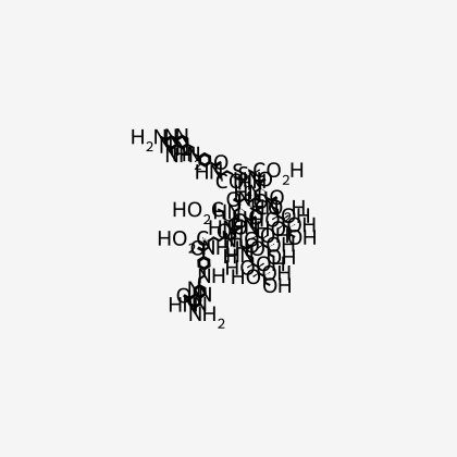 Nc1nc(N)c2nc(CNc3ccc(C(=O)N[C@@H](CCSSC[C@H](NC(=O)[C@H](CCC(=O)NC[C@H](O)[C@@H](O)[C@H](O)[C@H](O)CO)NC(=O)[C@H](CCC(=O)O)NC(=O)[C@H](CCC(=O)NC[C@H](O)[C@@H](O)[C@H](O)[C@H](O)CO)NC(=O)[C@H](CCC(=O)O)NC(=O)[C@H](CCC(=O)NC[C@H](O)[C@@H](O)[C@H](O)[C@H](O)CO)NC(=O)CC[C@H](NC(=O)c4ccc(NCc5cnc6nc(N)[nH]c(=O)c6n5)cc4)C(=O)O)C(=O)O)C(=O)O)cc3)cnc2n1